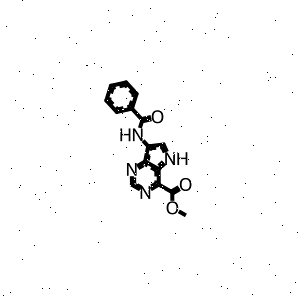 COC(=O)c1ncnc2c(NC(=O)c3ccccc3)c[nH]c12